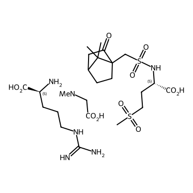 CC1(C)C2CCC1(CS(=O)(=O)N[C@@H](CCS(C)(=O)=O)C(=O)O)C(=O)C2.CNCC(=O)O.N=C(N)NCCC[C@H](N)C(=O)O